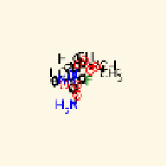 CC(C)COC(=O)C[C@H]1C[C@@H](CCn2c(-c3ccc(F)cc3OCCOCCN)c(-c3ccccc3)c(C(=O)Nc3ccccc3)c2C(C)C)OC(C)(C)O1